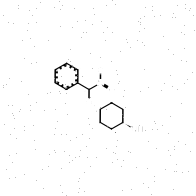 N[C@H]1CC[C@H](OC(c2ccccc2)[N+](=O)[O-])CC1